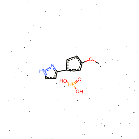 COc1ccc(-c2cc[nH]n2)cc1.O=[PH](O)O